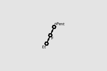 CCCCCc1ccc(C#Cc2ccc(C#Cc3ccc(CC)cc3)c(F)c2)cc1